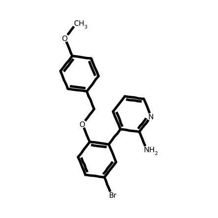 COc1ccc(COc2ccc(Br)cc2-c2cccnc2N)cc1